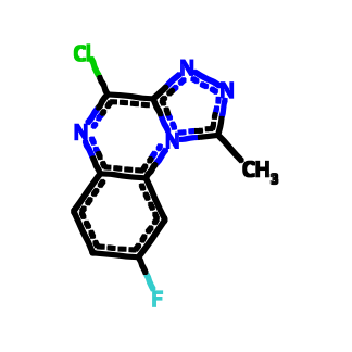 Cc1nnc2c(Cl)nc3ccc(F)cc3n12